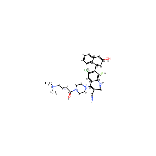 CN(C)C/C=C/C(=O)N1CCN(c2c(C#N)cnc3c(F)c(-c4cc(O)cc5ccccc45)c(Cl)cc23)CC1